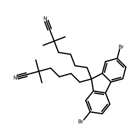 CC(C)(C#N)CCCCC1(CCCCC(C)(C)C#N)c2cc(Br)ccc2-c2ccc(Br)cc21